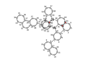 c1ccc(-c2ccc(-c3cccc4ccccc34)cc2N(c2ccc(-c3ccc4c(ccc5ccccc54)c3)cc2)c2ccccc2-n2c3ccccc3c3ccccc32)cc1